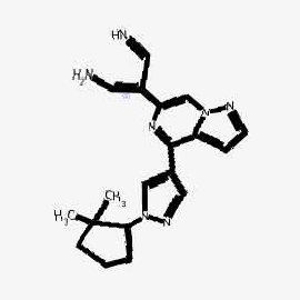 CC1(C)CCCC1n1cc(-c2nc(/C(C=N)=C/N)cn3nccc23)cn1